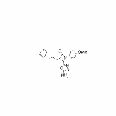 COc1ccc(N2C(=O)C(CCCc3ccccc3)C2c2nnc(N)o2)cc1